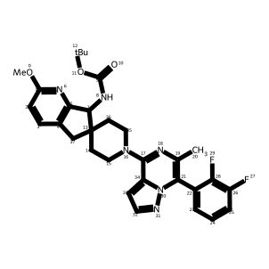 COc1ccc2c(n1)C(NC(=O)OC(C)(C)C)C1(CCN(c3nc(C)c(-c4cccc(F)c4F)n4nccc34)CC1)C2